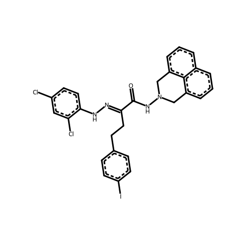 O=C(NN1Cc2cccc3cccc(c23)C1)/C(CCc1ccc(I)cc1)=N/Nc1ccc(Cl)cc1Cl